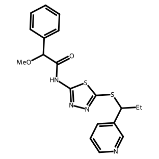 CCC(Sc1nnc(NC(=O)C(OC)c2ccccc2)s1)c1cccnc1